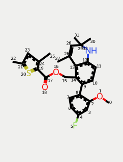 COc1cc(F)ccc1-c1ccc2c(c1COC(=O)c1sc(C)cc1C)C(C)=CC(C)(C)N2